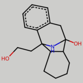 OCCC12NC(O)(Cc3ccccc31)C1CCCCC12